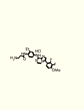 CCc1cc(Nc2nccn3c(-c4ccc(OC)c(F)c4F)cnc23)ccc1NC(=O)CCN.Cl